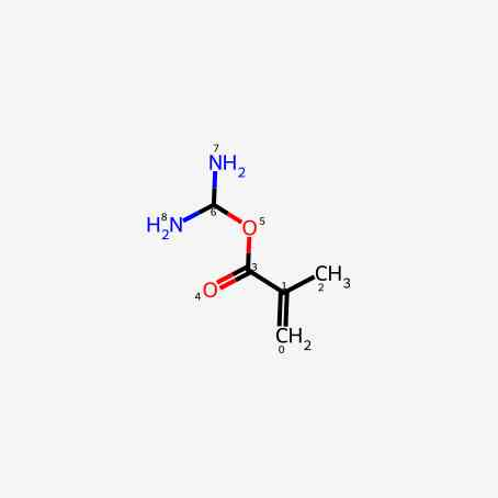 C=C(C)C(=O)OC(N)N